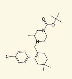 CC1CN(C(=O)OC(C)(C)C)CCN1CC1=C(c2ccc(Cl)cc2)CC(C)(C)CC1